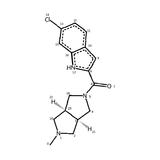 CN1C[C@@H]2CN(C(=O)c3cc4ccc(Cl)cc4[nH]3)C[C@@H]2C1